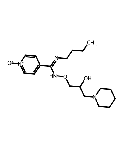 CCCCN=C(NOCC(O)CN1CCCCC1)c1cc[n+]([O-])cc1